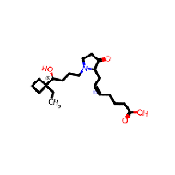 CCC1([C@@H](O)CCCN2CCC(=O)C2C/C=C\CCCC(=O)O)CCC1